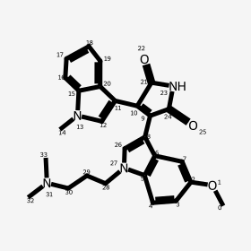 COc1ccc2c(c1)c(C1=C(c3cn(C)c4ccccc34)C(=O)NC1=O)cn2CCCN(C)C